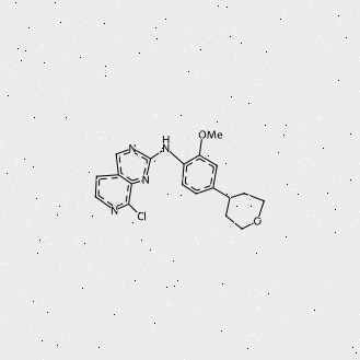 COc1cc(C2CCOCC2)ccc1Nc1ncc2ccnc(Cl)c2n1